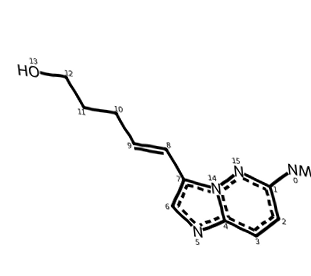 CNc1ccc2ncc(C=CCCCO)n2n1